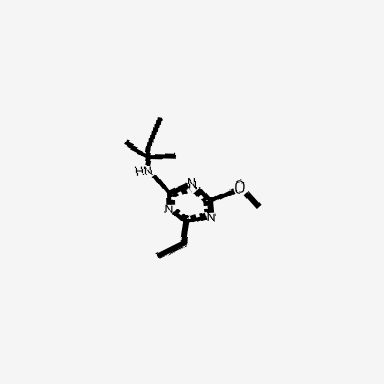 CCc1nc(NC(C)(C)C)nc(OC)n1